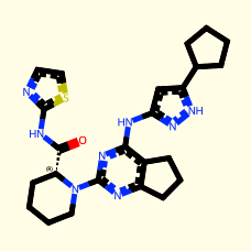 O=C(Nc1nccs1)[C@H]1CCCCN1c1nc2c(c(Nc3cc(C4CCCC4)[nH]n3)n1)CCC2